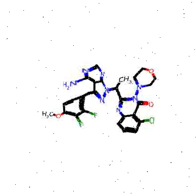 COc1ccc(-c2nn(C(C)c3nc4cccc(Cl)c4c(=O)n3N3CCOCC3)c3ncnc(N)c23)c(F)c1F